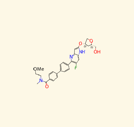 COCCN(C)C(=O)c1ccc(-c2ccc(-c3nc4cc(O[C@@H]5CO[C@H](CO)C5)[nH]c4cc3F)cc2)cc1